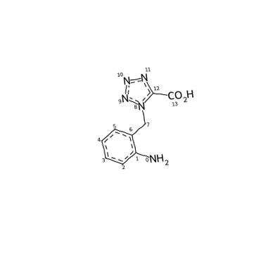 Nc1ccccc1Cn1nnnc1C(=O)O